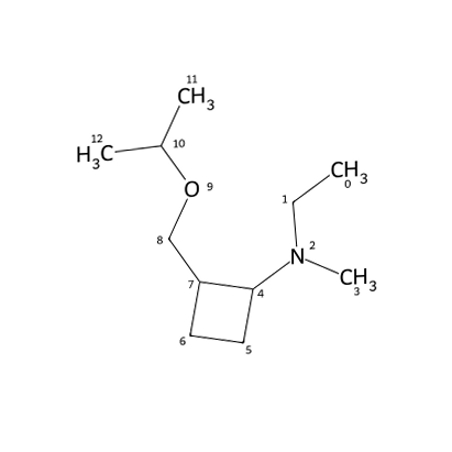 CCN(C)C1CCC1COC(C)C